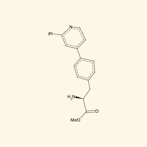 COC(=O)[C@@H](N)Cc1ccc(-c2ccnc(C(C)C)c2)cc1